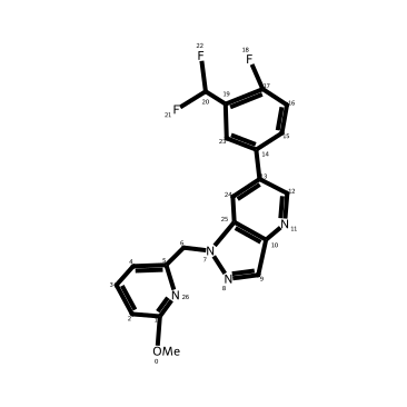 COc1cccc(Cn2ncc3ncc(-c4ccc(F)c(C(F)F)c4)cc32)n1